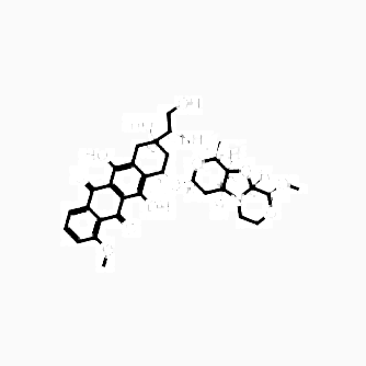 COc1cccc2c1C(=O)c1c(O)c3c(c(O)c1C2=O)C[C@@](O)([C@@H](N)CO)C[C@@H]3O[C@H]1C[C@H]2[C@H](O[C@@H]3[C@@H](OC)OCCN32)[C@H](C)O1